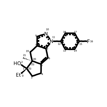 CC[C@]1(O)CCC2=Cc3c(cnn3-c3ccc(F)cc3)C[C@@]21C